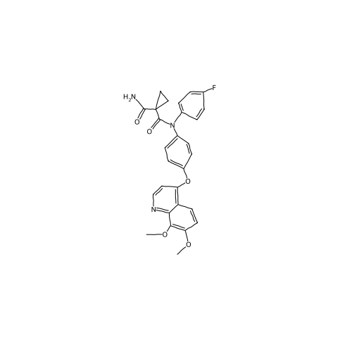 COc1ccc2c(Oc3ccc(N(C(=O)C4(C(N)=O)CC4)c4ccc(F)cc4)cc3)ccnc2c1OC